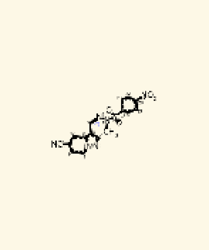 CN(/N=C\c1cnn2ccc(C#N)cc12)S(=O)(=O)c1ccc([N+](=O)[O-])cc1